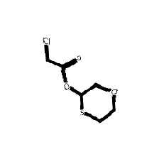 O=C(CCl)OC1COCCS1